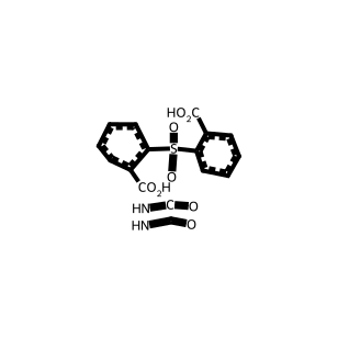 N=C=O.N=C=O.O=C(O)c1ccccc1S(=O)(=O)c1ccccc1C(=O)O